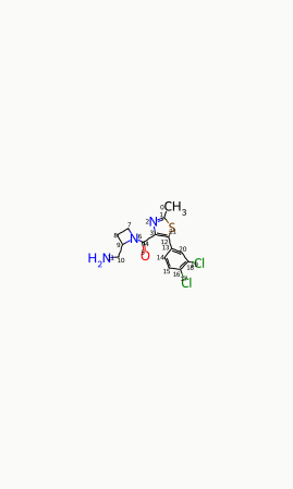 Cc1nc(C(=O)N2CCC2CN)c(-c2ccc(Cl)c(Cl)c2)s1